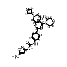 Cc1cc(NC(=O)Nc2ccc(-c3nc4c(c(N5CCOCC5C)n3)CCN(C3COC3)C4)cc2)no1